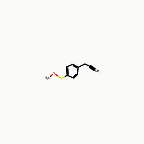 C#CCc1ccc(SOC)cc1